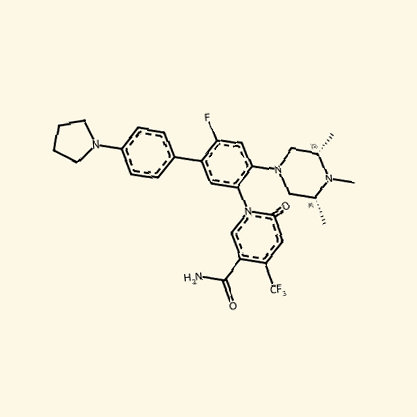 C[C@@H]1CN(c2cc(F)c(-c3ccc(N4CCCC4)cc3)cc2-n2cc(C(N)=O)c(C(F)(F)F)cc2=O)C[C@H](C)N1C